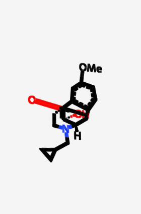 COc1ccc2c(c1)[C@@]13CCN(CC4CC4)[C@@H](C2)[C@@]1(O)CCC(=O)C3